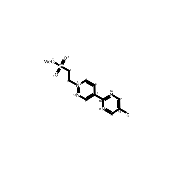 COS(=O)(=O)CC[n+]1ccc(-c2ncc(F)cn2)cn1